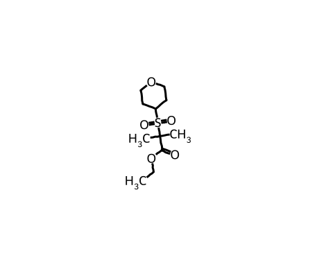 CCOC(=O)C(C)(C)S(=O)(=O)C1CCOCC1